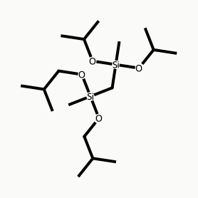 CC(C)CO[Si](C)(C[Si](C)(OC(C)C)OC(C)C)OCC(C)C